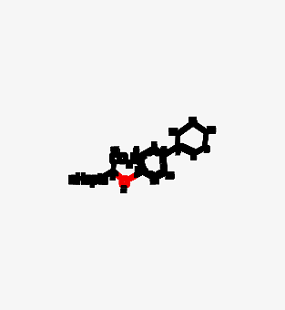 CCCCCCCC(Oc1ccc(C2=CCCCC2)cc1)C(=O)OCC